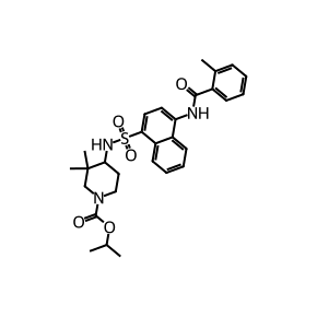 Cc1ccccc1C(=O)Nc1ccc(S(=O)(=O)NC2CCN(C(=O)OC(C)C)CC2(C)C)c2ccccc12